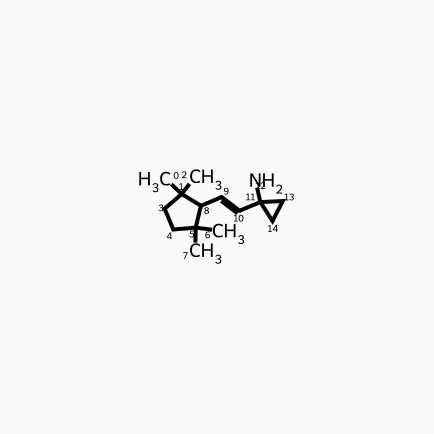 CC1(C)CCC(C)(C)C1C=CC1(N)CC1